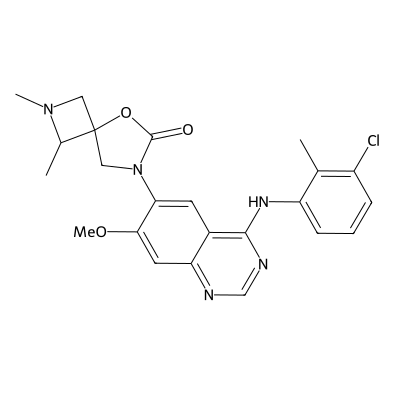 COc1cc2ncnc(Nc3cccc(Cl)c3C)c2cc1N1CC2(CN(C)C2C)OC1=O